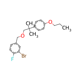 CCCOc1ccc(C(C)(C)COCc2ccc(F)c(Br)c2)cc1